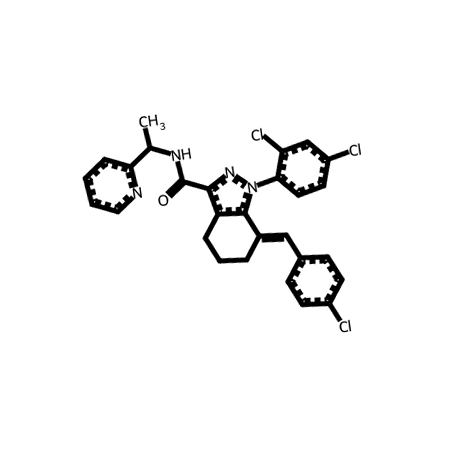 CC(NC(=O)c1nn(-c2ccc(Cl)cc2Cl)c2c1CCC/C2=C\c1ccc(Cl)cc1)c1ccccn1